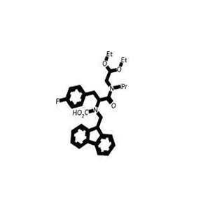 CCOC(CN(C(=O)C(Cc1ccc(F)cc1)N(CC1c2ccccc2-c2ccccc21)C(=O)O)C(C)C)OCC